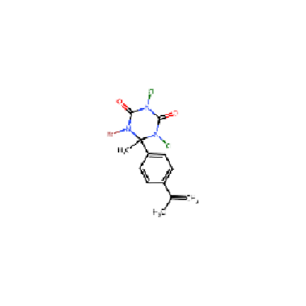 C=C(C)c1ccc(C2(C)N(Cl)C(=O)N(Cl)C(=O)N2Br)cc1